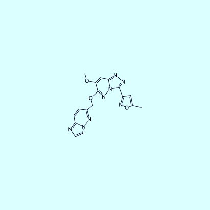 COc1cc2nnc(-c3cc(C)on3)n2nc1OCc1ccc2nccn2n1